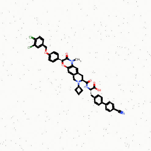 CN1C(=O)[C@H](c2ccc(OCc3ccc(Cl)c(Cl)c3)cc2)Oc2cc3c(cc21)CC(C(=O)N[C@@H](Cc1ccc(-c2ccc(C#N)cc2)cc1)C(=O)O)N(C1CCC1)C3